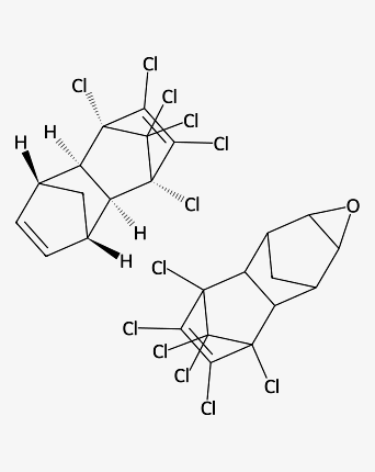 ClC1=C(Cl)C2(Cl)C3C4CC(C5OC45)C3C1(Cl)C2(Cl)Cl.ClC1=C(Cl)[C@]2(Cl)[C@H]3[C@H]([C@@H]4C=C[C@H]3C4)[C@@]1(Cl)C2(Cl)Cl